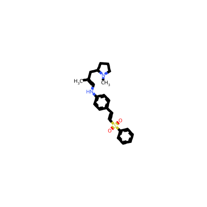 C/C(=C\Nc1ccc(/C=C/S(=O)(=O)c2ccccc2)cc1)CC1CCCN1C